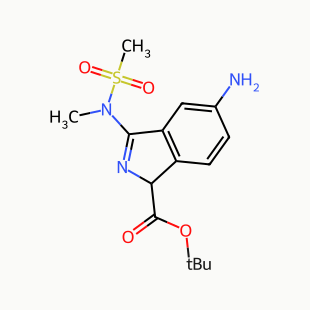 CN(C1=NC(C(=O)OC(C)(C)C)c2ccc(N)cc21)S(C)(=O)=O